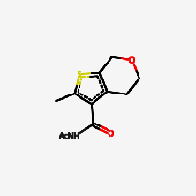 CC(=O)NC(=O)c1c(C)sc2c1CCOC2